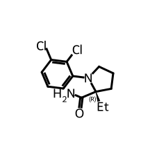 CC[C@]1(C(N)=O)CCCN1c1cccc(Cl)c1Cl